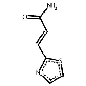 NC(=O)C=Cc1nccs1